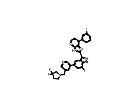 Fc1cccc(-c2ccnc3[nH]c(-c4n[nH]c5c(F)cc(-c6cncc(CN7CCC(F)(F)C7)c6)cc45)nc23)c1